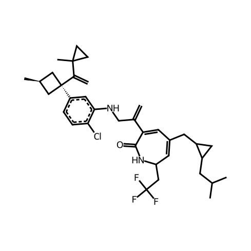 C=C(CNc1cc([C@]2(C(=C)C3(C)CC3)C[C@@H](C)C2)ccc1Cl)C1=CC(CC2CC2CC(C)C)=CC(CC(F)(F)F)NC1=O